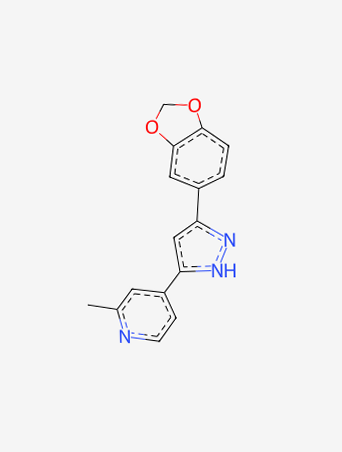 Cc1cc(-c2cc(-c3ccc4c(c3)OCO4)n[nH]2)ccn1